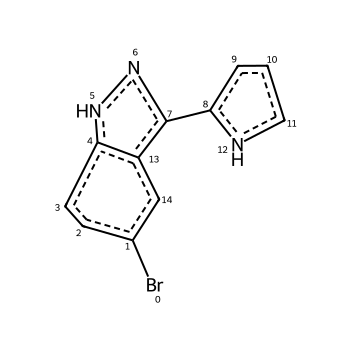 Brc1ccc2[nH]nc(-c3ccc[nH]3)c2c1